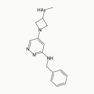 C[AsH]C1CN(c2cnnc(NCc3ccccc3)c2)C1